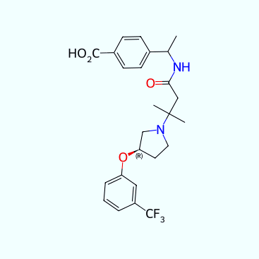 CC(NC(=O)CC(C)(C)N1CC[C@@H](Oc2cccc(C(F)(F)F)c2)C1)c1ccc(C(=O)O)cc1